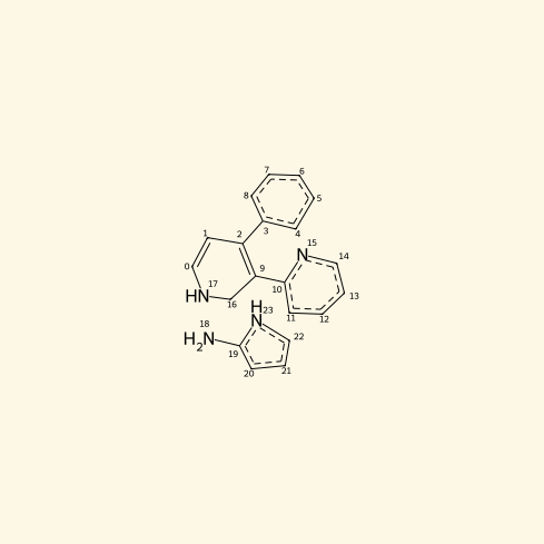 C1=CC(c2ccccc2)=C(c2ccccn2)CN1.Nc1ccc[nH]1